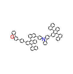 c1ccc2c(-c3c4ccccc4c(-c4cccc5ccccc45)c4cc(-c5ccc6c(c5)c5ccccc5n6-c5ccc(-c6ccc7cccc(-c8c9ccccc9c(-c9cccc%10ccccc9%10)c9ccc(-c%10ccc(-c%11ccc%12oc%13ccccc%13c%12c%11)cc%10)cc89)c7c6)cc5)ccc34)cccc2c1